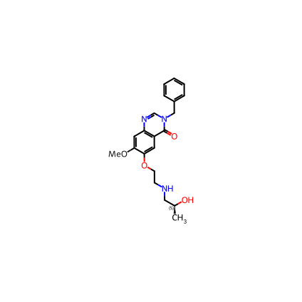 COc1cc2ncn(Cc3ccccc3)c(=O)c2cc1OCCNC[C@H](C)O